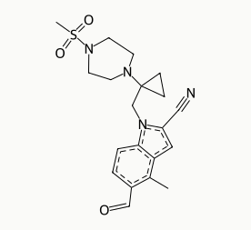 Cc1c(C=O)ccc2c1cc(C#N)n2CC1(N2CCN(S(C)(=O)=O)CC2)CC1